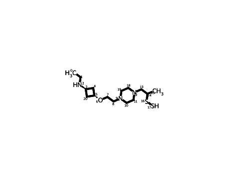 CCN[C@H]1C[C@H](OCCN2CCN(CC(C)SS)CC2)C1